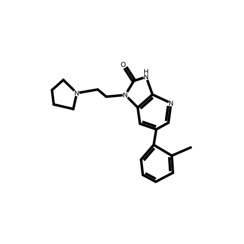 Cc1ccccc1-c1cnc2[nH]c(=O)n(CCN3CCCC3)c2c1